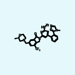 CCNc1cc(-c2ccccc2-c2nncn2C)cc(N2Cc3c(cc(CN4CCO[C@H](C)C4)cc3C(F)(F)F)C2=O)n1